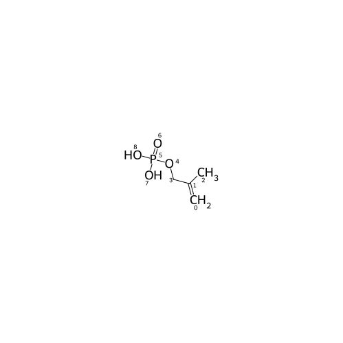 C=C(C)COP(=O)(O)O